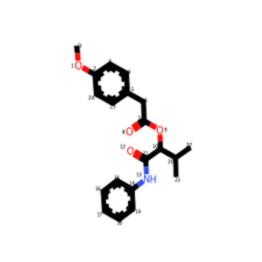 COc1ccc(CC(=O)OC(C(=O)Nc2ccccc2)C(C)C)cc1